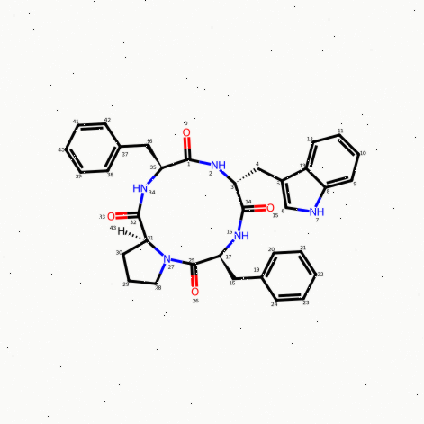 O=C1N[C@H](Cc2c[nH]c3ccccc23)C(=O)N[C@@H](Cc2ccccc2)C(=O)N2CCC[C@H]2C(=O)N[C@H]1Cc1ccccc1